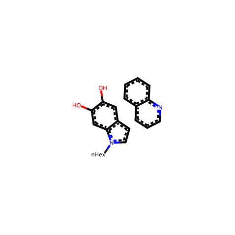 CCCCCCn1ccc2cc(O)c(O)cc21.c1ccc2ncccc2c1